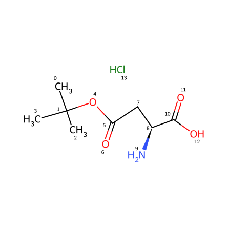 CC(C)(C)OC(=O)C[C@H](N)C(=O)O.Cl